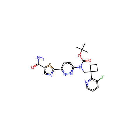 CC(C)(C)OC(=O)N(CC1(c2ncccc2F)CCC1)c1ccc(-c2ncc(C(N)=O)s2)nn1